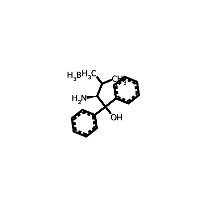 B.CC(C)[C@H](N)C(O)(c1ccccc1)c1ccccc1